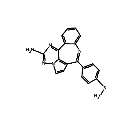 CSc1ccc(C2=Nc3ccccc3-c3nc(N)nn4ccc2c34)cc1